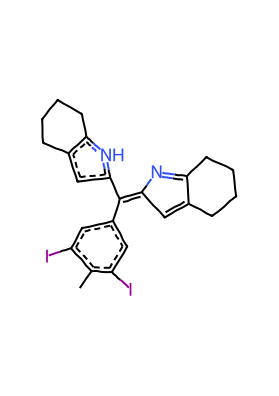 Cc1c(I)cc(/C(=C2\C=C3CCCCC3=N2)c2cc3c([nH]2)CCCC3)cc1I